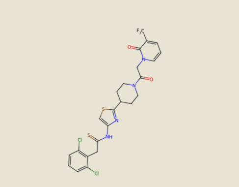 O=C(Cn1cccc(C(F)(F)F)c1=O)N1CCC(c2nc(NC(=S)Cc3c(Cl)cccc3Cl)cs2)CC1